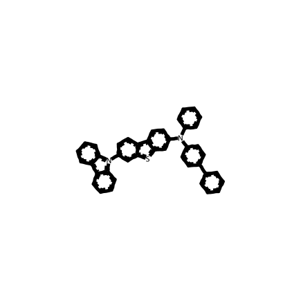 c1ccc(-c2ccc(N(c3ccccc3)c3ccc4c(c3)sc3cc(-n5c6ccccc6c6ccccc65)ccc34)cc2)cc1